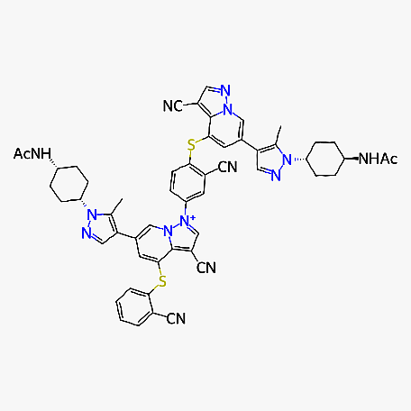 CC(=O)N[C@H]1CC[C@H](n2ncc(-c3cc(Sc4ccc(-[n+]5cc(C#N)c6c(Sc7ccccc7C#N)cc(-c7cnn([C@H]8CC[C@@H](NC(C)=O)CC8)c7C)cn65)cc4C#N)c4c(C#N)cnn4c3)c2C)CC1